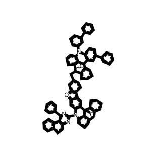 c1ccc(-c2cccc(N3c4ccc(-c5ccccc5)cc4C45CCC(Cc6ccc7c(c6)oc6cc8c(cc67)C67CCC(c9ccccc96)c6cccc(c67)N8c6nc(-c7ccccc7)c7c(ccc8ccccc87)n6)(c6ccccc64)c4cccc3c45)c2)cc1